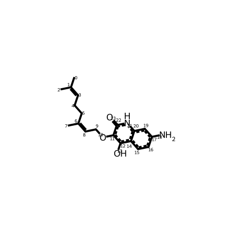 CC(C)=CCCC(C)=CCOc1c(O)c2ccc(N)cc2[nH]c1=O